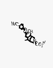 CC1C2CC(CN(C(=O)O)C2)C(C)C1C[C@H](O)COc1ccc(C#N)cc1